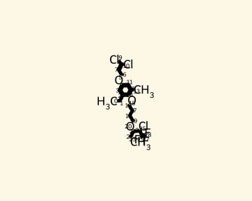 CCc1cc(OCC=C(Cl)Cl)cc(C)c1OCCCCOC(CC)C(Cl)C(F)(F)F